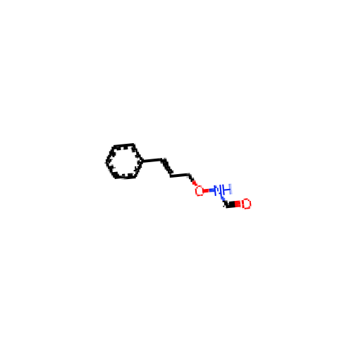 O=[C]NOCC=Cc1ccccc1